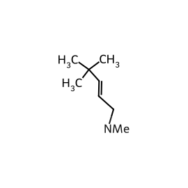 CNC/C=C/C(C)(C)C